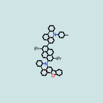 Cc1ccc(N(c2ccc(-c3cc(C(C)C)c4ccc5c(N(c6ccc7oc8ccccc8c7c6)c6ccccc6-c6ccccc6)cc(C(C)C)c6ccc3c4c65)cc2)c2ccccc2-c2ccccc2)cc1